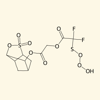 O=C(COC(=O)C(F)(F)SOOO)OC1C2CC3C1OS(=O)(=O)C3C2